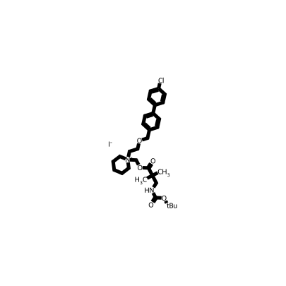 CC(C)(C)OC(=O)NCC(C)(C)C(=O)OC[N+]1(CCOCc2ccc(-c3ccc(Cl)cc3)cc2)CCCCC1.[I-]